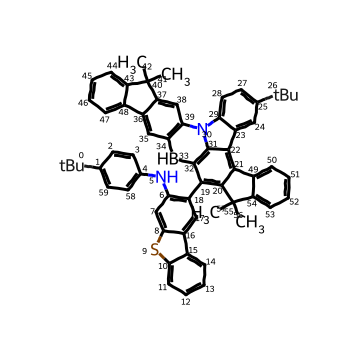 CC(C)(C)c1ccc(Nc2cc3sc4ccccc4c3cc2-c2c3c(c4c5cc(C(C)(C)C)ccc5n5c4c2Bc2cc4c(cc2-5)C(C)(C)c2ccccc2-4)-c2ccccc2C3(C)C)cc1